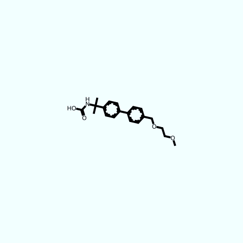 COCCOCc1ccc(-c2ccc(C(C)(C)NC(=O)O)cc2)cc1